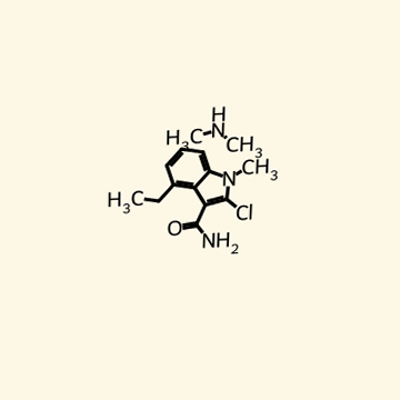 CCc1cccc2c1c(C(N)=O)c(Cl)n2C.CNC